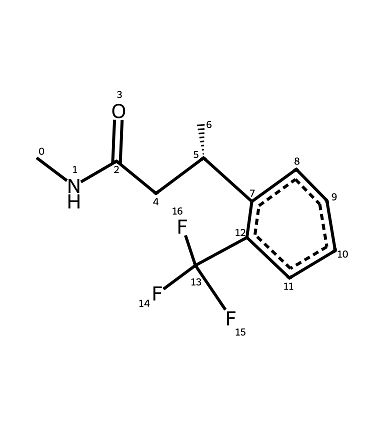 CNC(=O)C[C@H](C)c1ccccc1C(F)(F)F